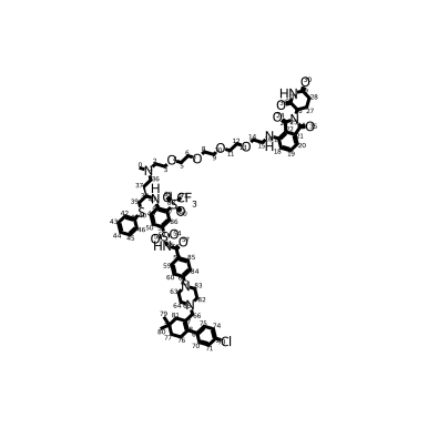 CN(CCOCCOCCOCCOCCNc1cccc2c1C(=O)N(C1CCC(=O)NC1=O)C2=O)CC[C@H](CSc1ccccc1)Nc1ccc(S(=O)(=O)NC(=O)c2ccc(N3CCN(CC4=C(c5ccc(Cl)cc5)CCC(C)(C)C4)CC3)cc2)cc1S(=O)(=O)C(F)(F)F